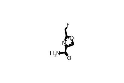 NC(=O)c1coc(CF)n1